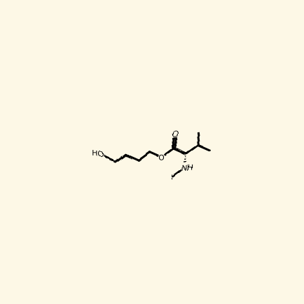 CC(C)[C@H](NI)C(=O)OCCCCO